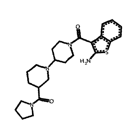 Nc1sc2ccccc2c1C(=O)N1CCC(N2CCCC(C(=O)N3CCCC3)C2)CC1